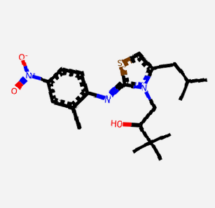 Cc1cc([N+](=O)[O-])ccc1N=c1scc(CC(C)C)n1CC(O)C(C)(C)C